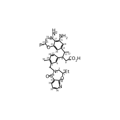 CCC1CN(Cc2cc(C(CC(=O)O)C(C)c3cc(N)c(N(C)N)c(OC(F)F)c3)ccc2C)[S+]([O-])c2cccnc2O1